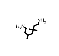 CC(CCN)CC(C)(C)CCN